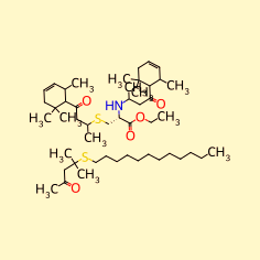 CCCCCCCCCCCCSC(C)(C)CC(C)=O.CCOC(=O)[C@H](CSC(C)CC(=O)C1C(C)C=CCC1(C)C)NC(C)CC(=O)C1C(C)C=CCC1(C)C